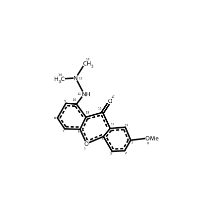 COc1ccc2oc3cccc(NN(C)C)c3c(=O)c2c1